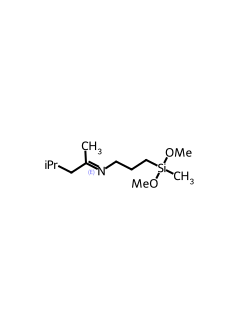 CO[Si](C)(CCC/N=C(\C)CC(C)C)OC